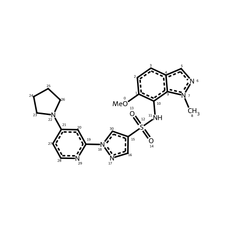 COc1ccc2cnn(C)c2c1NS(=O)(=O)c1cnn(-c2cc(N3CCCC3)ccn2)c1